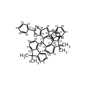 CC1(C)c2ccccc2-c2c(N(c3cccc4c3-c3ccccc3C4(C)C)c3c4oc(-c5ccccc5)nc4cc4c3oc3ccccc34)cccc21